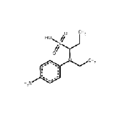 CCC(N(CC)c1ccc(N)cc1)S(=O)(=O)O